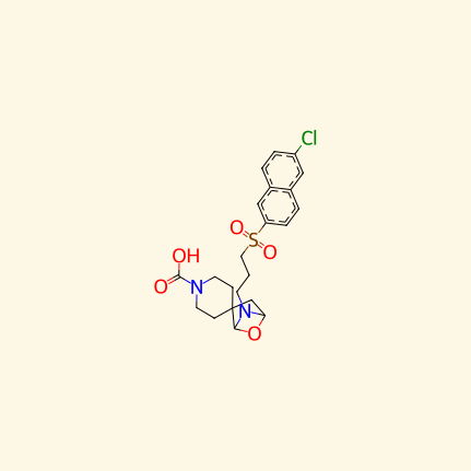 O=C(O)N1CCC2(CC1)CC1OC2N1CCCS(=O)(=O)c1ccc2cc(Cl)ccc2c1